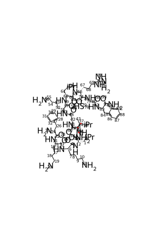 CC(C)C[C@H](NC(=O)[C@@H](CCCCN)NC(=O)[C@H](CCCCN)NC(=O)[C@H](N)Cc1ccccc1)C(=O)N[C@H](CC(C)C)C(=O)N[C@@H](CCCCN)C(=O)N[C@H](CCCCN)C(=O)N[C@@H](CC(C)C)C(=O)N[C@H](CCCNC(=N)N)C(=O)N[C@@H](CS)C(=O)N[C@H](Cc1ccccc1)C(N)=O